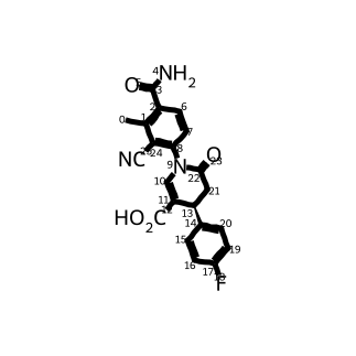 Cc1c(C(N)=O)ccc(N2C=C(C(=O)O)[C@H](c3ccc(F)cc3)CC2=O)c1C#N